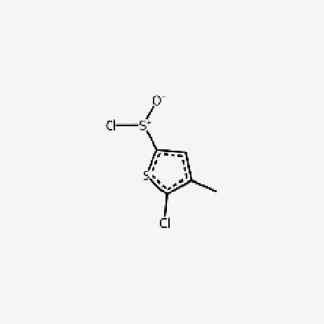 Cc1cc([S+]([O-])Cl)sc1Cl